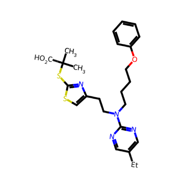 CCc1cnc(N(CCCCOc2ccccc2)CCc2csc(SC(C)(C)C(=O)O)n2)nc1